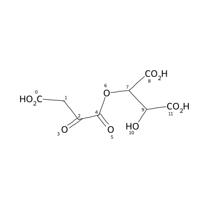 O=C(O)CC(=O)C(=O)OC(C(=O)O)C(O)C(=O)O